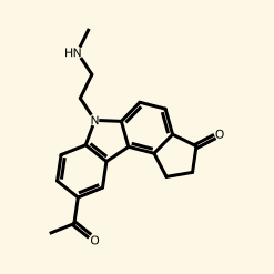 CNCCn1c2ccc(C(C)=O)cc2c2c3c(ccc21)C(=O)CC3